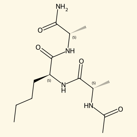 CCCC[C@H](NC(=O)[C@H](C)NC(C)=O)C(=O)N[C@@H](C)C(N)=O